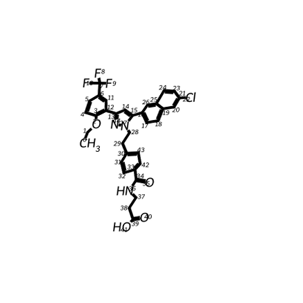 CCOc1ccc(C(F)(F)F)cc1-c1cc(-c2ccc3cc(Cl)ccc3c2)n(CCc2ccc(C(=O)NCCC(=O)O)cc2)n1